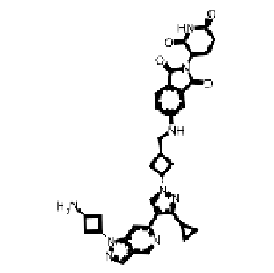 N[C@H]1C[C@H](n2ncc3cnc(-c4cn([C@H]5C[C@H](CNc6ccc7c(c6)C(=O)N(C6CCC(=O)NC6=O)C7=O)C5)nc4C4CC4)cc32)C1